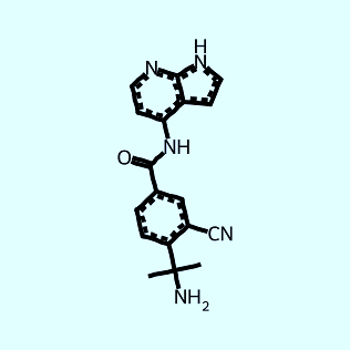 CC(C)(N)c1ccc(C(=O)Nc2ccnc3[nH]ccc23)cc1C#N